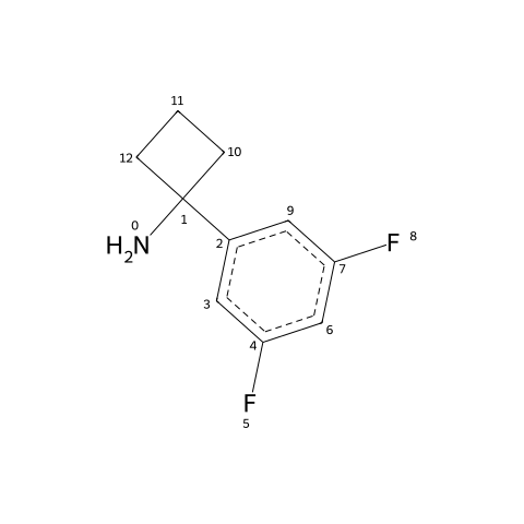 NC1(c2cc(F)cc(F)c2)CCC1